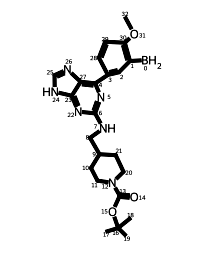 Bc1cc(-c2nc(NCC3CCN(C(=O)OC(C)(C)C)CC3)nc3[nH]cnc23)ccc1OC